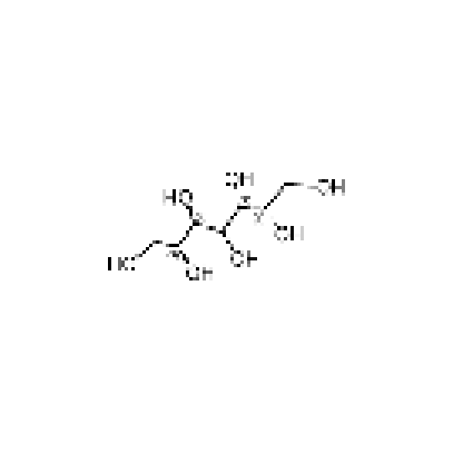 OC[C@H](O)[C@@H](O)C(O)[C@H](O)[C@@H](O)CO